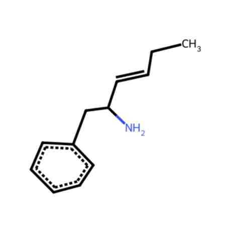 CC/C=C/C(N)Cc1ccccc1